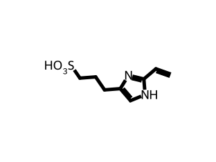 C=Cc1nc(CCCS(=O)(=O)O)c[nH]1